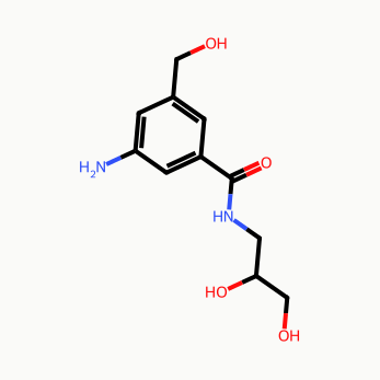 Nc1cc(CO)cc(C(=O)NCC(O)CO)c1